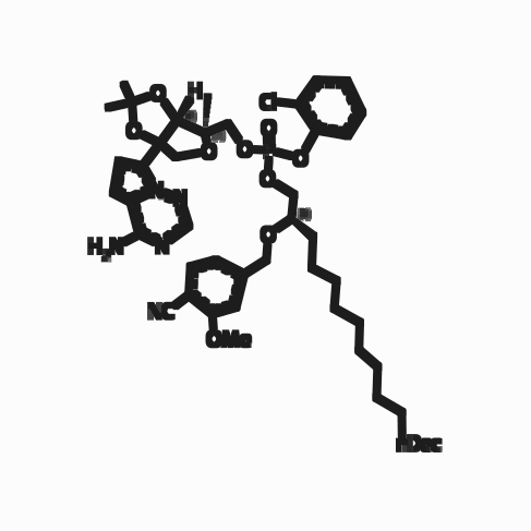 CCCCCCCCCCCCCCCCCCC[C@H](COP(=O)(OC[C@@]1(C)OCC2(c3ccc4c(N)ncnn34)OC(C)(C)O[C@@H]21)Oc1ccccc1Cl)OCc1ccc(C#N)c(OC)c1